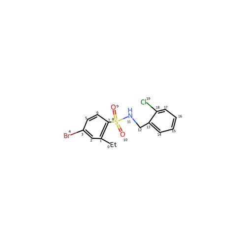 CCc1cc(Br)ccc1S(=O)(=O)NCc1ccccc1Cl